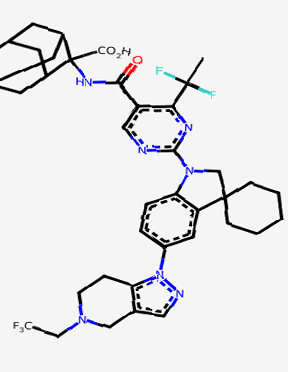 CC(F)(F)c1nc(N2CC3(CCCCC3)c3cc(-n4ncc5c4CCN(CC(F)(F)F)C5)ccc32)ncc1C(=O)NC1(C(=O)O)C2CC3CC(C2)CC1C3